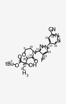 CC(C)(C)OC(=O)[C@](C)(O)[C@H]1OCCN(c2nn(-c3cnnc(C#N)c3)cc2F)C1=O